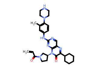 C=CC(=O)N1CC[C@H](n2c(=O)c(C3CCCCC3)nc3cnc(Nc4ccc(N5CCNCC5)c(C)c4)nc32)C1